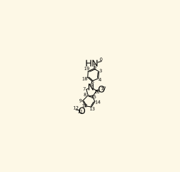 CNc1ccc(N2Cc3cc(OC)ccc3C2=O)cc1